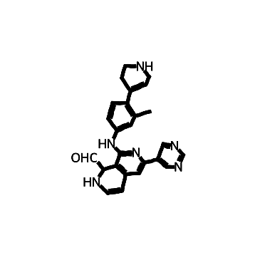 Cc1cc(Nc2nc(-c3cncnc3)cc3c2C(C=O)NC=C3)ccc1C1=CCNCC1